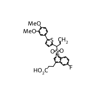 C=CC(c1ccc(-c2ccc(OC)c(OC)c2)s1)S(=O)(=O)n1cc(CCC(=O)O)c2cc(F)ccc21